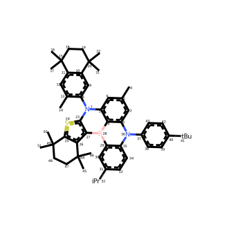 Cc1cc2c3c(c1)N(c1cc4c(cc1C)C(C)(C)CCC4(C)C)c1sc4c(c1B3c1cc(C(C)C)ccc1N2c1ccc(C(C)(C)C)cc1)C(C)(C)CCC4(C)C